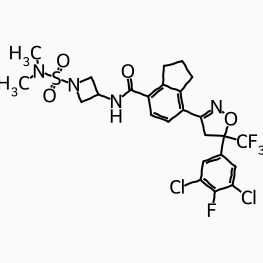 CN(C)S(=O)(=O)N1CC(NC(=O)c2ccc(C3=NOC(c4cc(Cl)c(F)c(Cl)c4)(C(F)(F)F)C3)c3c2CCC3)C1